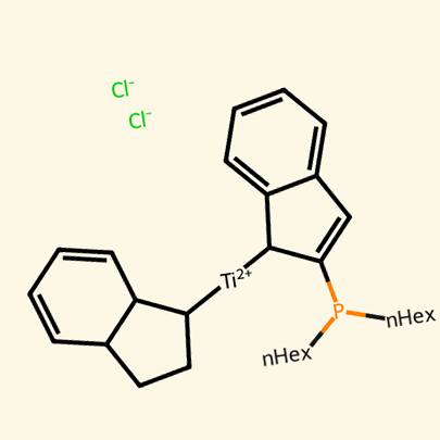 CCCCCCP(CCCCCC)C1=Cc2ccccc2[CH]1[Ti+2][CH]1CCC2C=CC=CC21.[Cl-].[Cl-]